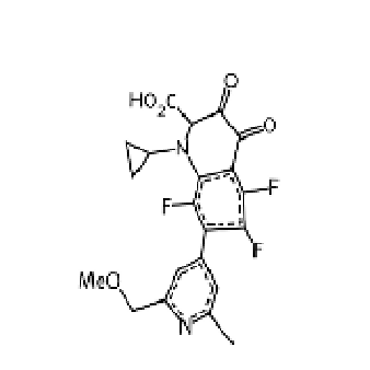 COCc1cc(-c2c(F)c(F)c3c(c2F)N(C2CC2)C(C(=O)O)C(=O)C3=O)cc(C)n1